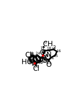 C=C[C@H]1CN(Cc2ccccn2)C(=O)C2CCCC1N2S(=O)(=O)c1cc(Cl)c(O)c(Cl)c1